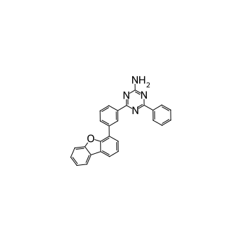 Nc1nc(-c2ccccc2)nc(-c2cccc(-c3cccc4c3oc3ccccc34)c2)n1